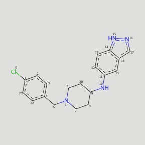 Clc1ccc(CN2CCC(Nc3ccc4[nH]ncc4c3)CC2)cc1